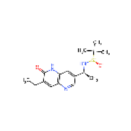 CCc1cc2ncc([C@H](C)N[S@+]([O-])C(C)(C)C)cc2[nH]c1=O